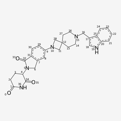 O=C1CCC(N2Cc3cc(N4CC5(CCN(Cc6c[nH]c7ccccc67)CC5)C4)ccc3C2=O)C(=O)N1